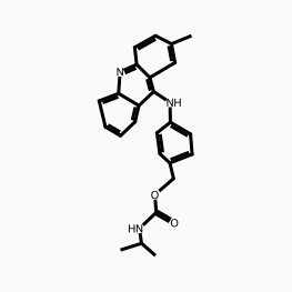 Cc1ccc2nc3ccccc3c(Nc3ccc(COC(=O)NC(C)C)cc3)c2c1